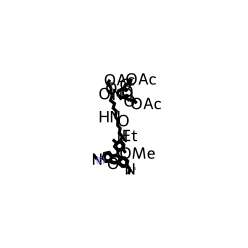 CCN(CCCC(=O)NCCCCC(C(=O)OCOC(C)=O)N(CC(=O)OCOC(C)=O)CC(=O)OCOC(C)=O)c1cc(OC)c(-c2c3cc/c(=N\C)cc-3oc3cc(N(C)C)ccc23)cc1C